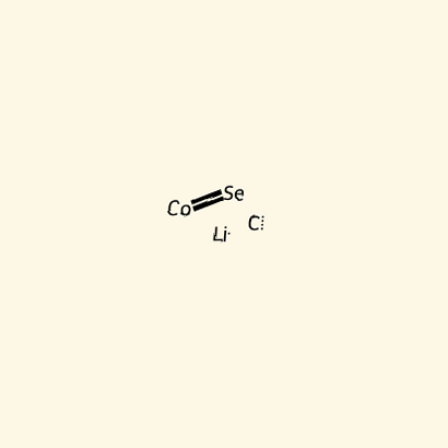 [C].[Co]=[Se].[Li]